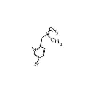 CN(C)Cc1ccc(Br)cn1